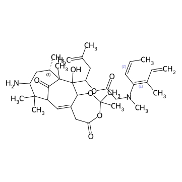 C=C/C(C)=C(\C=C/C)N(C)CC(=O)OC(CC(=C)C)C1(O)C2OC(C)(C)OC(=O)CC2=CC2C(=O)C1(C)[C@@H](C)CC(N)C2(C)C